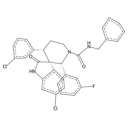 O=C(NCc1ccccc1)N1CC[C@@H](c2cccc(Cl)c2)[C@]2(C(=O)Nc3cc(Cl)ccc32)[C@H]1c1cccc(F)c1